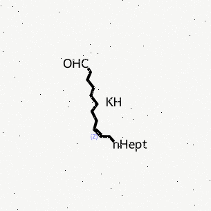 CCCCCCCC/C=C\CCCCCCCC=O.[KH]